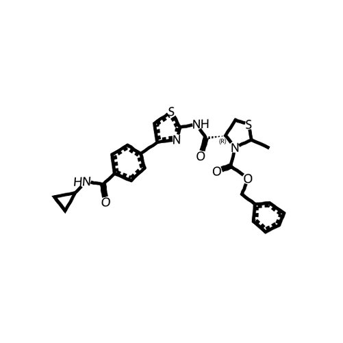 CC1SC[C@@H](C(=O)Nc2nc(-c3ccc(C(=O)NC4CC4)cc3)cs2)N1C(=O)OCc1ccccc1